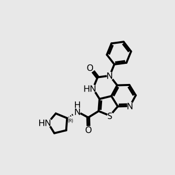 O=C(N[C@@H]1CCNC1)c1sc2nccc3c2c1NC(=O)N3c1ccccc1